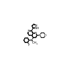 CN(c1ccccc1F)c1cc(N2CCOCC2)nc2c(-c3ccn[nH]3)nccc12